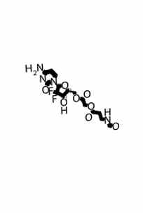 Nc1ccn([C@H]2O[C@@H](COC(=O)COC(=O)CCNC=O)[C@H](O)C2(F)F)c(=O)n1